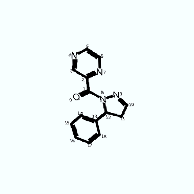 O=C(c1cnccn1)N1N=CCC1c1ccccc1